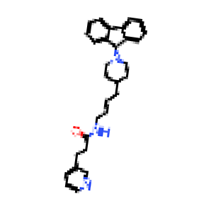 O=C(CCc1cccnc1)NCCCCC1CCN(C2c3ccccc3-c3ccccc32)CC1